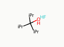 CC(C)C(O)(C(C)C)C(C)C.F